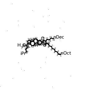 CCCCCCCC/C=C\CCCCCCCC(=O)C(CCCCCCCCCCCCCC)C(=O)C1(O)CC[C@@]2(C)C(=CC[C@H]3[C@@H]4CC[C@H]([C@H](C)CCCC(C)C)[C@@]4(C)CC[C@@H]32)C1